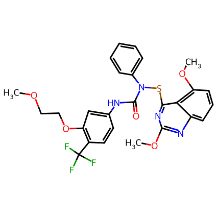 COCCOc1cc(NC(=O)N(Sc2nc(OC)nc3cccc(OC)c23)c2ccccc2)ccc1C(F)(F)F